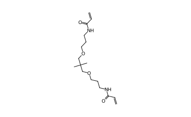 C=CC(=O)NCCCOCC(C)(C)COCCCNC(=O)C=C